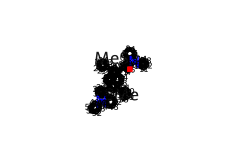 CSC12CCCCC1(C)N(c1ccccc1)c1ccc(-c3cc(-c4ccccc4)c4ccc5c(-c6cccc7c6C6(SC)CCCCC6(C)N7c6ccccc6)cc(-c6ccccc6)c6ccc3c4c65)cc12